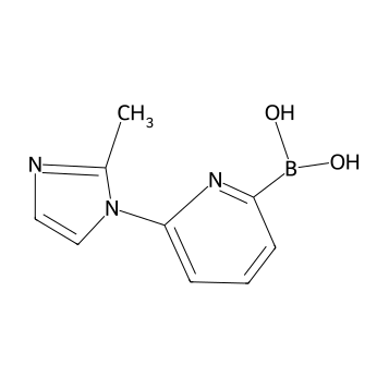 Cc1nccn1-c1cccc(B(O)O)n1